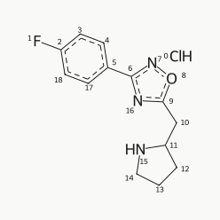 Cl.Fc1ccc(-c2noc(CC3CCCN3)n2)cc1